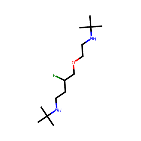 CC(C)(C)NCCOCC(F)CCNC(C)(C)C